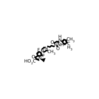 Cc1ccc(Nc2cc(=O)n(CCCCN3CCN(c4c(F)cc5c(=O)c(C(=O)O)cn(C6CC6)c5c4F)CC3C)c(=O)[nH]2)cc1C